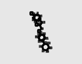 O=c1ccn2c(n1)OC(COc1ccc(C3CCCCC3)cc1)C2